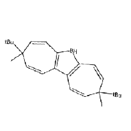 CC(C)(C)C1(C)C=CC2=C(C=C1)C1=C(B2)C=CC(C)(C(C)(C)C)C=C1